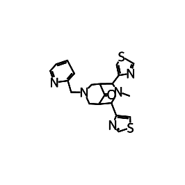 CN1C(c2cscn2)C2CN(Cc3ccccn3)CC(C2=O)C1c1cscn1